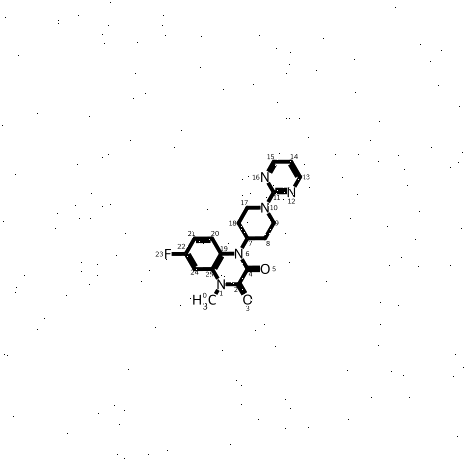 Cn1c(=O)c(=O)n(C2CCN(c3ncccn3)CC2)c2ccc(F)cc21